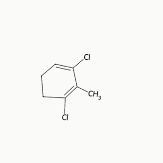 CC1=C(Cl)CCC=C1Cl